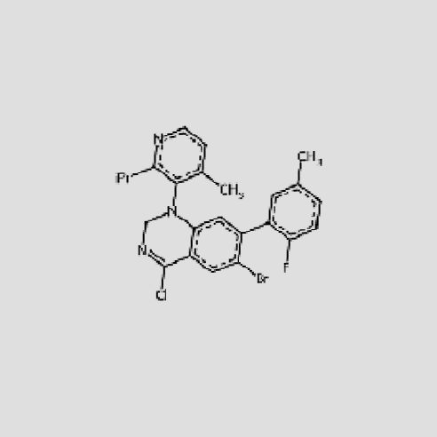 Cc1ccc(F)c(-c2cc3c(cc2Br)C(Cl)=NCN3c2c(C)ccnc2C(C)C)c1